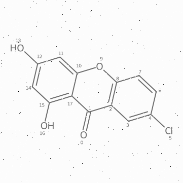 O=c1c2cc(Cl)ccc2oc2cc(O)cc(O)c12